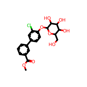 COC(=O)c1cccc(-c2ccc(OC3OC(CO)C(O)C(O)C3O)c(Cl)c2)c1